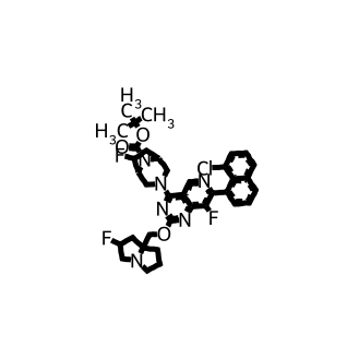 CC(C)(C)OC(=O)N1C2CC(F)C1CN(c1nc(OCC34CCCN3CC(F)C4)nc3c(F)c(-c4cccc5cccc(Cl)c45)ncc13)C2